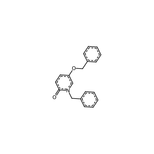 O=c1ccc(OCc2ccccc2)cn1Cc1ccccc1